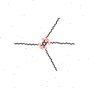 CCCCCCCCCCCCCCCCOC(=O)c1cc(C(=O)OCCCCCCCCCCCCCCCC)c(C(=O)OCCCCCCCCCCCCCCCC)cc1C(=O)OCCCCCCCCCCCCCCCC